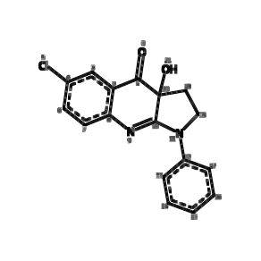 O=C1c2cc(Cl)ccc2N=C2N(c3ccccc3)CCC12O